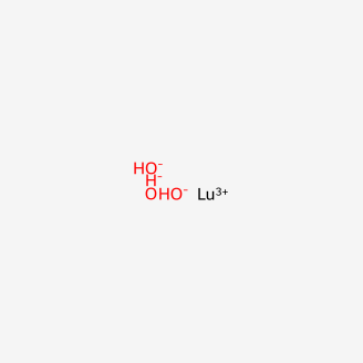 [Lu+3].[OH-].[OH-].[OH-]